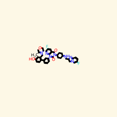 C[C@H]1COCCN1Cc1cc(O)ccc1-c1cccc(-n2c(=O)n(C3CCC(NCC4CN5C=C(F)C=CC5=N4)CC3)c(=O)c3cc(F)cnc32)c1